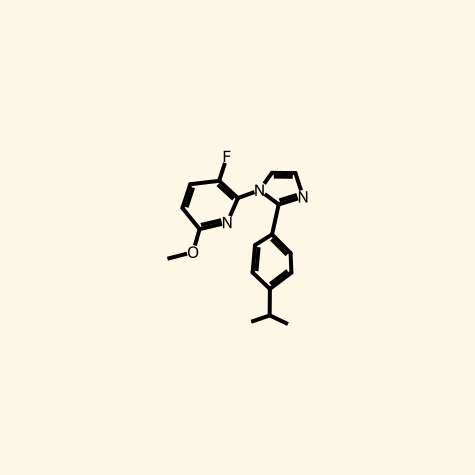 COc1ccc(F)c(-n2ccnc2-c2ccc(C(C)C)cc2)n1